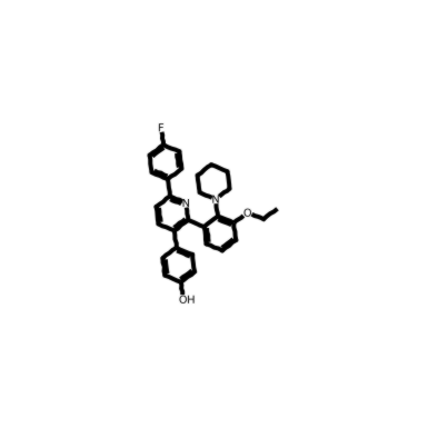 CCOc1cccc(-c2nc(-c3ccc(F)cc3)ccc2-c2ccc(O)cc2)c1N1CCCCC1